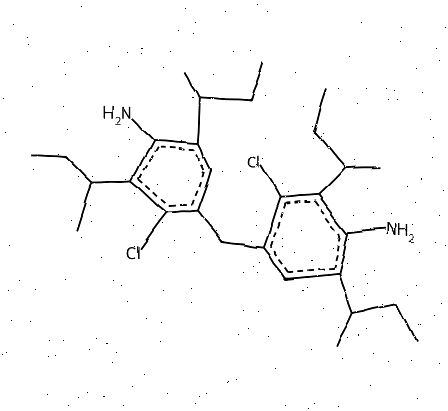 CCC(C)c1cc(Cc2cc(C(C)CC)c(N)c(C(C)CC)c2Cl)c(Cl)c(C(C)CC)c1N